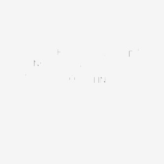 CCc1ccnc(F)c1OCC1CC(F)CN1